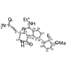 CCNc1nc2c(C#CC(N)=O)c[nH]c(=O)c2c2cc(-c3cccc(OC)c3F)ccc12